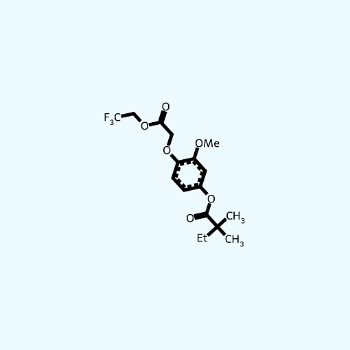 CCC(C)(C)C(=O)Oc1ccc(OCC(=O)OCC(F)(F)F)c(OC)c1